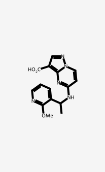 COc1ncccc1C(C)Nc1ccn2ncc(C(=O)O)c2n1